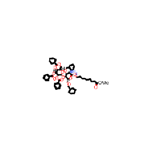 COC(=O)CCCCCCCCO[C@@H]1O[C@H](COCc2ccccc2)[C@@H](O[C@@H]2O[C@@H]3COC(c4ccccc4)O[C@@H]3[C@H](OC(=O)c3ccccc3)[C@H]2OC(=O)c2ccccc2)[C@H](OCc2ccccc2)[C@H]1N